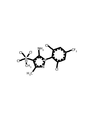 Cc1nn(-c2c(Cl)cc(C(F)(F)F)cc2Cl)c(N)c1[SH](C)(Cl)(Cl)Cl